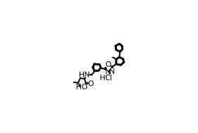 Cc1c(-c2ccccc2)cccc1-c1nnc(-c2cccc(CNC(CC(C)C)C(=O)O)c2)o1.Cl